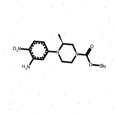 C[C@H]1CN(C(=O)OC(C)(C)C)CCN1c1ccc([N+](=O)[O-])c(N)c1